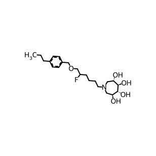 CCCc1ccc(COCC(F)CCCCN2C[C@H](O)[C@@H](O)[C@H](O)[C@@H](O)C2)cc1